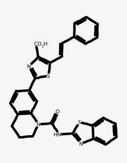 O=C(O)c1nc(-c2ccc3c(c2)N(C(=O)Nc2nc4ccccc4s2)CCC3)sc1/C=C/c1ccccc1